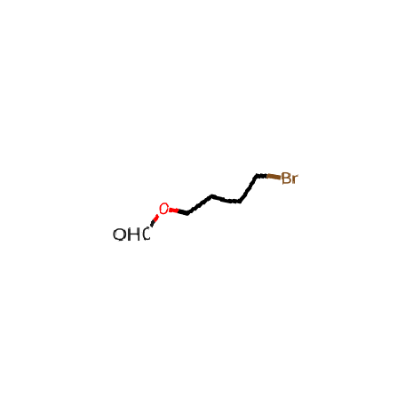 O=COCCCCBr